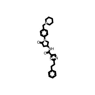 O=C(NC1CC(=O)N(c2ccc(CN3CCCCC3)cc2)C1)c1cnc(CCc2ccccc2)s1